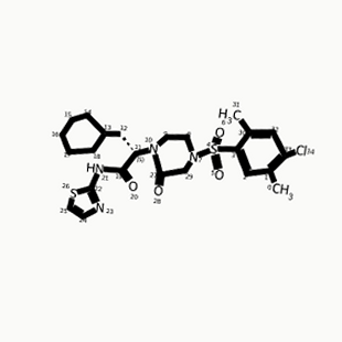 Cc1cc(S(=O)(=O)N2CCN([C@@H](CC3CCCCC3)C(=O)Nc3nccs3)C(=O)C2)c(C)cc1Cl